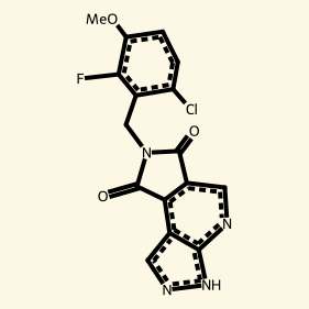 COc1ccc(Cl)c(CN2C(=O)c3cnc4[nH]ncc4c3C2=O)c1F